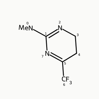 CNC1=NCCC(C(F)(F)F)=N1